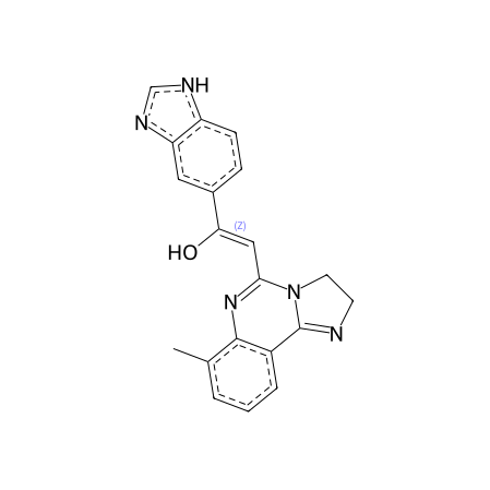 Cc1cccc2c1N=C(/C=C(\O)c1ccc3[nH]cnc3c1)N1CCN=C21